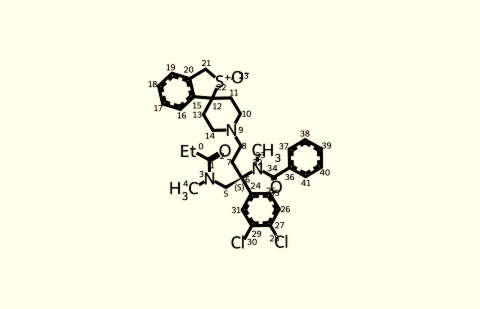 CCC(=O)N(C)C[C@](CCN1CCC2(CC1)c1ccccc1C[S+]2[O-])(c1ccc(Cl)c(Cl)c1)N(C)C(=O)c1ccccc1